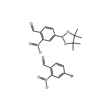 CC1(C)OB(c2ccc(C=O)c([N+](=O)[O-])c2)OC1(C)C.O=Cc1ccc(Br)cc1[N+](=O)[O-]